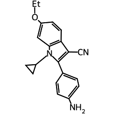 CCOc1ccc2c(C#N)c(-c3ccc(N)cc3)n(C3CC3)c2c1